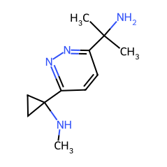 CNC1(c2ccc(C(C)(C)N)nn2)CC1